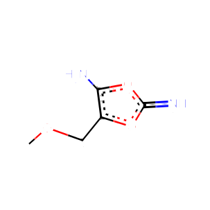 COCc1oc(=N)oc1N